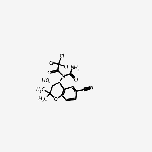 CC1(C)Oc2ccc(C#N)cc2[C@H](N(C(N)=O)C(=O)C(Cl)(Cl)Cl)[C@H]1O